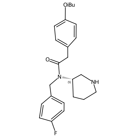 CC(C)COc1ccc(CC(=O)N(Cc2ccc(F)cc2)[C@H]2CCCNC2)cc1